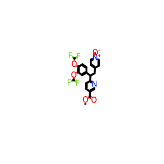 COC(=O)c1ccc(C(Cc2cc[n+]([O-])cc2)c2ccc(OC(F)F)c(OC(F)F)c2)nc1